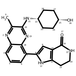 Cc1nc2cccc(-c3cc4c([nH]3)CCNC4=O)c2nc1N[C@H]1CC[C@@H](O)CC1